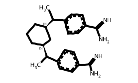 CC(c1ccc(C(=N)N)cc1)[C@@H]1CCC[C@H](C(C)c2ccc(C(=N)N)cc2)C1